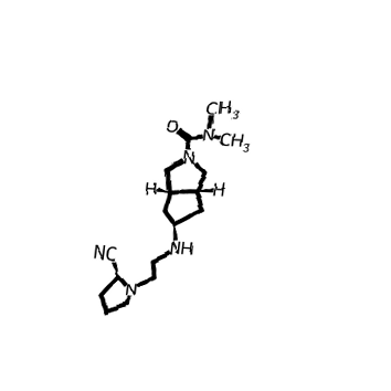 CN(C)C(=O)N1C[C@H]2C[C@H](NCCN3CCC[C@H]3C#N)C[C@H]2C1